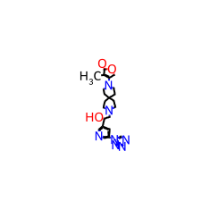 CC1=C(N2CCC3(CCN(CC(O)c4cncc(-n5cnnn5)c4)CC3)CC2)COC1=O